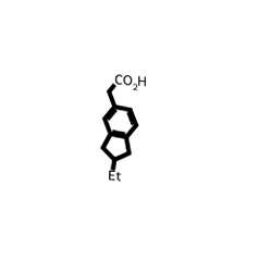 CCC1Cc2ccc(CC(=O)O)cc2C1